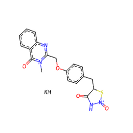 Cn1c(COc2ccc(CC3S[N+](=O)NC3=O)cc2)nc2ccccc2c1=O.[KH]